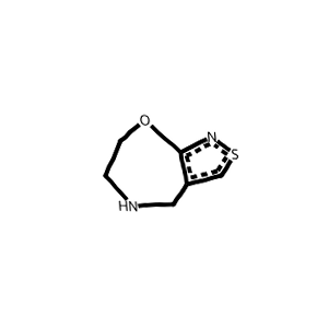 c1snc2c1CNCCO2